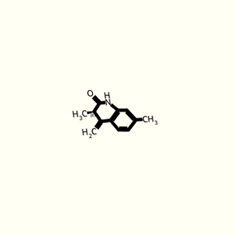 C=C1c2ccc(C)cc2NC(=O)[C@@H]1C